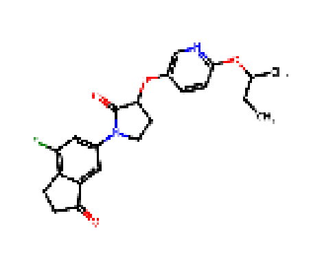 CCC(C)Oc1ccc(OC2CCN(c3cc(F)c4c(c3)C(=O)CC4)C2=O)cn1